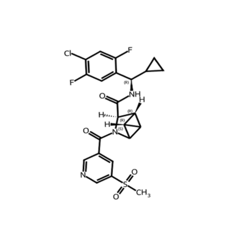 CS(=O)(=O)c1cncc(C(=O)N2C3C4[C@H]3[C@@H]4[C@@H]2C(=O)N[C@@H](c2cc(F)c(Cl)cc2F)C2CC2)c1